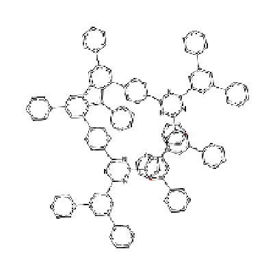 c1ccc(-c2cc(-c3ccccc3)cc(-c3nc(-c4ccc(-c5cc(-c6ccccc6)cc6c7cc(-c8ccccc8)cc(-c8ccc(-c9nc(-c%10cc(-c%11ccccc%11)cc(-c%11ccccc%11)c%10)nc(-c%10cc(-c%11ccccc%11)cc(-c%11ccccc%11)c%10)n9)cc8)c7n(-c7ccccc7)c56)cc4)nc(-c4cc(-c5ccccc5)cc(-c5ccccc5)c4)n3)c2)cc1